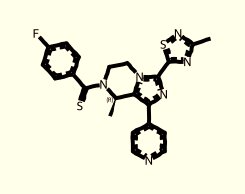 Cc1nsc(-c2nc(-c3ccncc3)c3n2CCN(C(=S)c2ccc(F)cc2)[C@@H]3C)n1